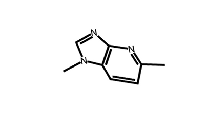 Cc1ccc2c(ncn2C)n1